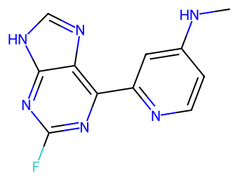 CNc1ccnc(-c2nc(F)nc3[nH]cnc23)c1